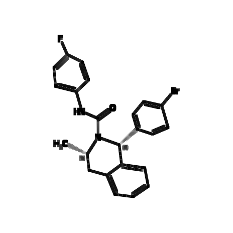 C[C@H]1Cc2ccccc2[C@@H](c2ccc(Br)cc2)N1C(=O)Nc1ccc(F)cc1